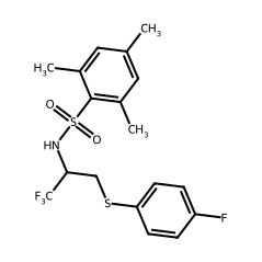 Cc1cc(C)c(S(=O)(=O)NC(CSc2ccc(F)cc2)C(F)(F)F)c(C)c1